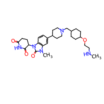 CNCCOC1CCC(CN2CCC(c3ccc4c(c3)n(C)c(=O)n4C3CCC(=O)NC3=O)CC2)CC1